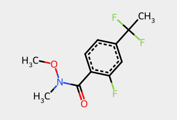 CON(C)C(=O)c1ccc(C(C)(F)F)cc1F